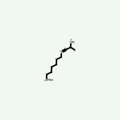 CCCCCCCCCCCCS#CC(C)O